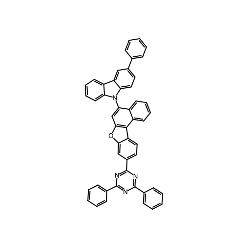 c1ccc(-c2ccc3c(c2)c2ccccc2n3-c2cc3oc4cc(-c5nc(-c6ccccc6)nc(-c6ccccc6)n5)ccc4c3c3ccccc23)cc1